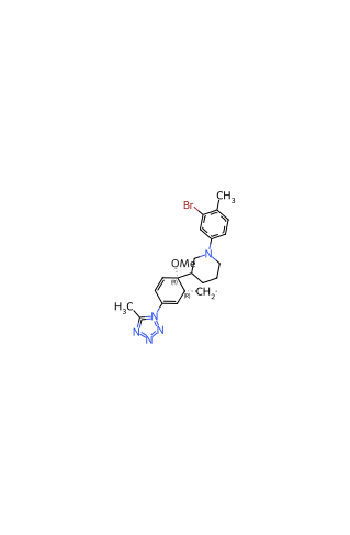 [CH2][C@@H]1C=C(n2nnnc2C)C=C[C@@]1(OC)C1CCCN(c2ccc(C)c(Br)c2)C1